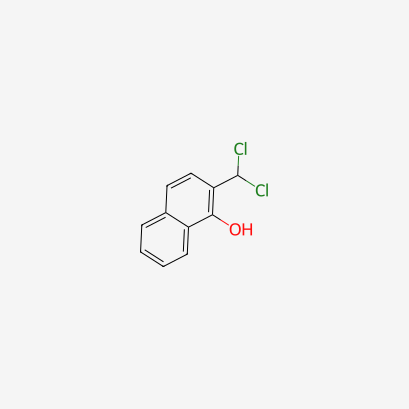 Oc1c(C(Cl)Cl)ccc2ccccc12